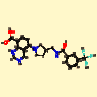 O=C(NCC1CCN(c2ccc(C(=O)O)c3ncncc23)C1)c1cccc(C(F)(F)F)c1